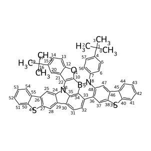 CC(C)(C)c1ccc(N2B3c4oc5ccc(C(C)(C)C)cc5c4-n4c5cc6c(cc5c5ccc(c3c54)-c3cc4sc5ccccc5c4cc32)sc2ccccc26)cc1